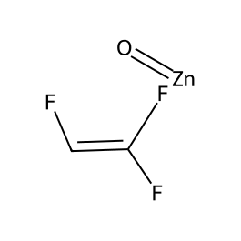 FC=C(F)F.[O]=[Zn]